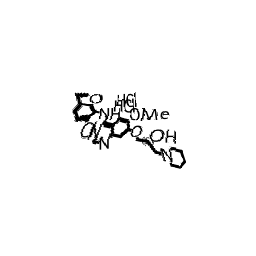 COc1cc2c(Nc3c(Cl)ccc4ccoc34)ncnc2cc1OC[C@@H](O)CN1CCCCC1.Cl.Cl